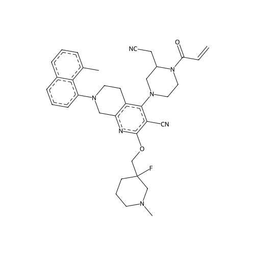 C=CC(=O)N1CCN(c2c(C#N)c(OCC3(F)CCCN(C)C3)nc3c2CCN(c2cccc4cccc(C)c24)C3)CC1CC#N